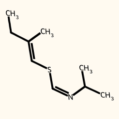 CC/C(C)=C/S/C=N\C(C)C